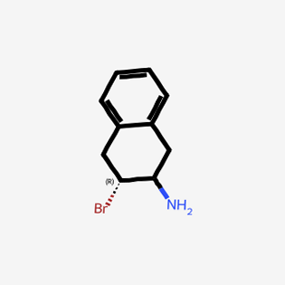 NC1Cc2ccccc2C[C@H]1Br